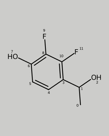 CC(O)c1ccc(O)c(F)c1F